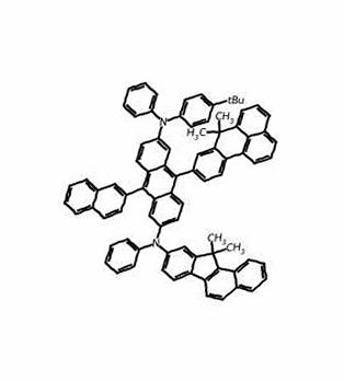 CC(C)(C)c1ccc(N(c2ccccc2)c2ccc3c(-c4ccc5ccccc5c4)c4cc(N(c5ccccc5)c5ccc6c(c5)C(C)(C)c5c-6ccc6ccccc56)ccc4c(-c4ccc5c(c4)C(C)(C)c4cccc6cccc-5c46)c3c2)cc1